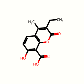 CCc1c(C)c2ccc(O)c(C(=O)O)c2oc1=O